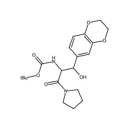 CC(C)(C)OC(=O)NC(C(=O)N1CCCC1)C(O)c1ccc2c(c1)OCCO2